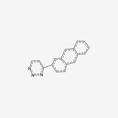 [c]1c(-c2ccnnn2)ccc2cc3ccccc3cc12